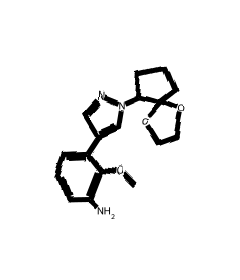 COc1c(N)cccc1-c1cnn(C2CCCC23OCCO3)c1